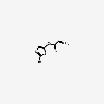 C=CC(=O)Oc1cnc(Br)s1